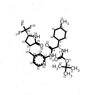 CC1CCC([C@H](NC(=O)OC(C)(C)C)C(=O)Nc2cc(C[C@@H]3C[C@@H](C(F)(F)F)NC3=O)ccn2)CC1